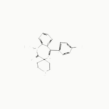 Cc1ccc(C2=NC3(CCNCC3)C(=O)N(C)c3ccccc32)cc1